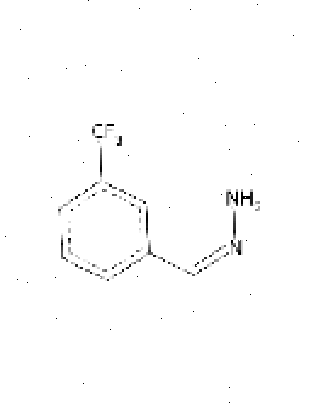 N/N=C\c1cccc(C(F)(F)F)c1